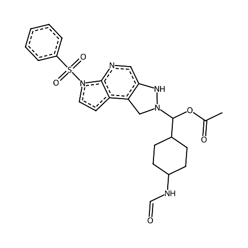 CC(=O)OC(C1CCC(NC=O)CC1)N1Cc2c(cnc3c2ccn3S(=O)(=O)c2ccccc2)N1